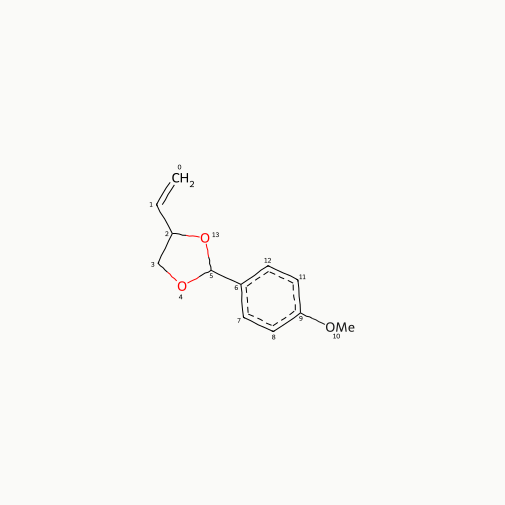 C=CC1COC(c2ccc(OC)cc2)O1